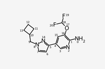 Nc1ncc(-c2ccn(CC3CCC3)n2)cc1OC(F)F